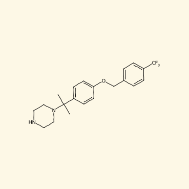 CC(C)(c1ccc(OCc2ccc(C(F)(F)F)cc2)cc1)N1CCNCC1